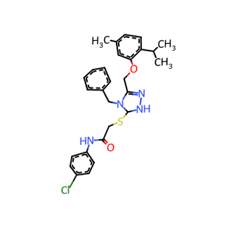 Cc1ccc(C(C)C)c(OCC2=NNC(SCC(=O)Nc3ccc(Cl)cc3)N2Cc2ccccc2)c1